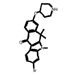 Cn1c2c(c3ccc(Br)cc31)C(=O)c1ccc(OC3CCNCC3)cc1C2(C)C